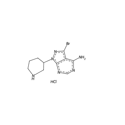 Cl.Nc1ncnc2c1c(Br)nn2C1CCCNC1